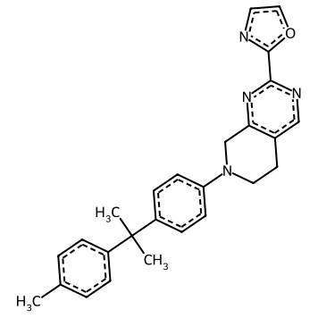 Cc1ccc(C(C)(C)c2ccc(N3CCc4cnc(-c5ncco5)nc4C3)cc2)cc1